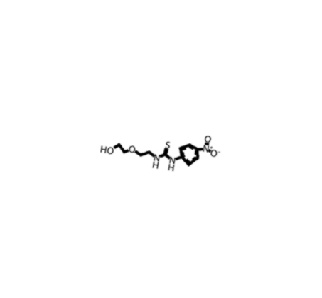 O=[N+]([O-])c1ccc(NC(=S)NCCOCCO)cc1